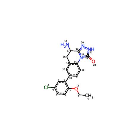 CCOc1ccc(Cl)cc1-c1ccc2c(c1)CC(N)c1n[nH]c(=O)n1-2